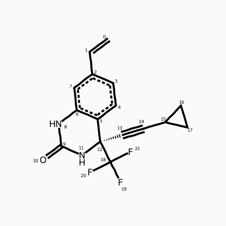 C=Cc1ccc2c(c1)NC(=O)N[C@]2(C#CC1CC1)C(F)(F)F